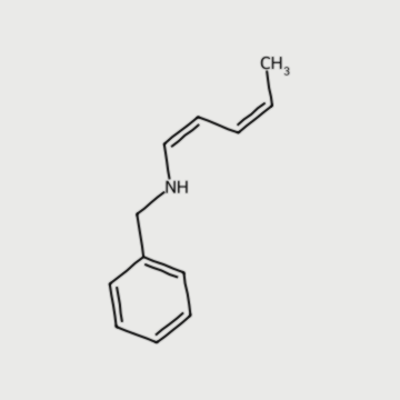 C/C=C\C=C/NCc1ccccc1